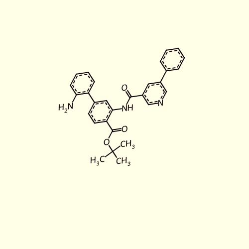 CC(C)(C)OC(=O)c1ccc(-c2ccccc2N)cc1NC(=O)c1cncc(-c2ccccc2)c1